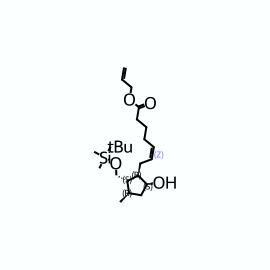 C=CCOC(=O)CCC/C=C\C[C@@H]1[C@@H](CO[Si](C)(C)C(C)(C)C)[C@H](C)C[C@@H]1O